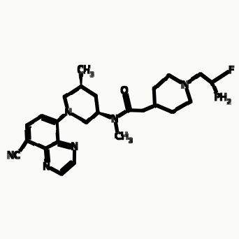 C[C@H]1C[C@@H](N(C)C(=O)CC2CCN(CC(F)P)CC2)CN(c2ccc(C#N)c3nccnc23)C1